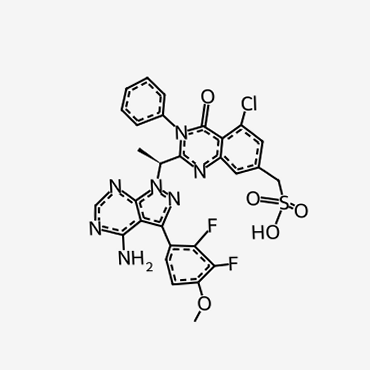 COc1ccc(-c2nn([C@@H](C)c3nc4cc(CS(=O)(=O)O)cc(Cl)c4c(=O)n3-c3ccccc3)c3ncnc(N)c23)c(F)c1F